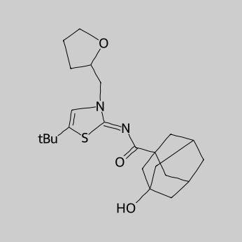 CC(C)(C)c1cn(CC2CCCO2)/c(=N/C(=O)C23CC4CC(CC(O)(C4)C2)C3)s1